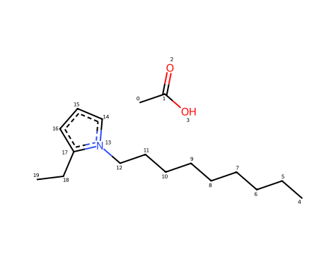 CC(=O)O.CCCCCCCCCn1cccc1CC